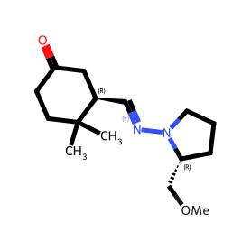 COC[C@H]1CCCN1/N=C/[C@@H]1CC(=O)CCC1(C)C